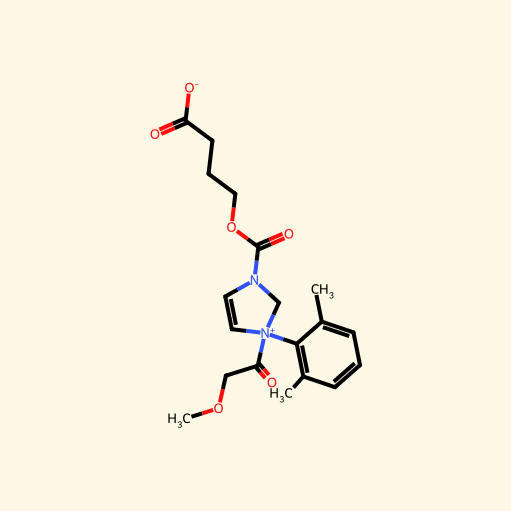 COCC(=O)[N+]1(c2c(C)cccc2C)C=CN(C(=O)OCCCC(=O)[O-])C1